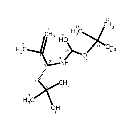 C=C(C)[C@@H](CC(C)(C)O)NC(O)OC(C)(C)C